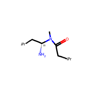 CC(C)CC(=O)N(C)[C@H](N)CC(C)C